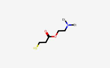 CCN(CC)CCOC(=O)CCS